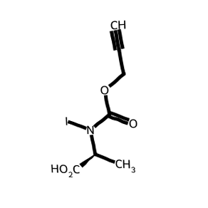 C#CCOC(=O)N(I)[C@@H](C)C(=O)O